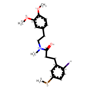 COc1ccc(CCN(C)C(=O)CCc2cc(SC)ccc2I)cc1OC